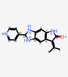 CC(C)=C1C(=O)Nc2cc3c(cc21)NC(c1ccncc1)N3